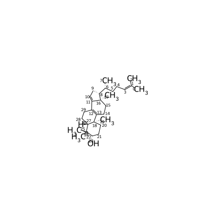 CC(C)=CCC[C@@H](C)[C@H]1CC=C2C3=C(CC[C@@]21C)[C@@]1(C)CC[C@H](O)C(C)(C)[C@@H]1CC3